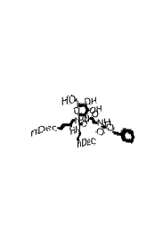 CCCCCCCCCCCCCCN(C(=O)NCCCCCCCCCCCC)[C@@H]1O[C@H](CO)[C@H](O)[C@H](O)[C@H]1NC(=O)CNC(=O)OCc1ccccc1